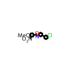 COc1ccc(-c2nc3cc(-c4cccc(Cl)c4)ccc3o2)cc1[N+](=O)[O-]